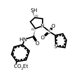 CCOC(=O)c1ccc(NC(=O)[C@@H]2C[C@H](S)CN2S(=O)(=O)c2cccs2)cc1